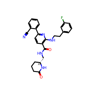 N#Cc1ccccc1-c1ccc(C(=O)NC[C@H]2CCCC(=O)N2)c(NCCc2cccc(F)c2)n1